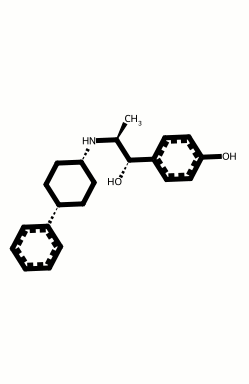 C[C@H](N[C@H]1CC[C@@H](c2ccccc2)CC1)[C@@H](O)c1ccc(O)cc1